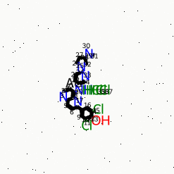 CC(=O)c1cnc2ccc(-c3cc(Cl)c(O)c(Cl)c3)nc2c1Nc1ccc(N2CCC(N(C)C)C2)nc1.Cl.Cl.Cl